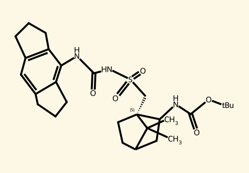 CC(C)(C)OC(=O)NC1CC2CC[C@]1(CS(=O)(=O)NC(=O)Nc1c3c(cc4c1CCC4)CCC3)C2(C)C